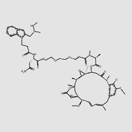 CNN(C)Cc1cc2ccccc2n1CCC(=O)N[C@@H](CC(N)=O)C(=O)NCCOCCOCCC(=O)N(C)[C@@H](C)C(=O)O[C@H]1CC(=O)N(C)c2cc(cc(OC)c2Cl)C/C(C)=C/C=C/[C@@H](OC)[C@@]2(O)C[C@H](OC(=O)N2)[C@@H](C)C2O[C@]21C